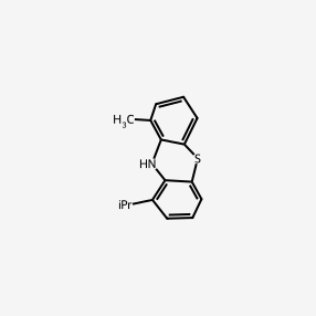 Cc1cccc2c1Nc1c(cccc1C(C)C)S2